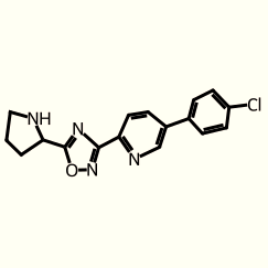 Clc1ccc(-c2ccc(-c3noc(C4CCCN4)n3)nc2)cc1